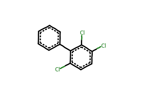 Clc1ccc(Cl)c(-c2ccccc2)c1Cl